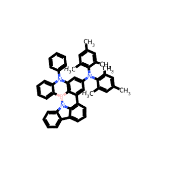 Cc1cc(C)c(N(c2cc3c4c(c2)N(c2ccccc2)c2ccccc2B4n2c4ccccc4c4cccc-3c42)c2c(C)cc(C)cc2C)c(C)c1